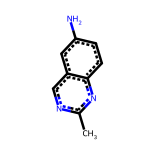 Cc1ncc2cc(N)ccc2n1